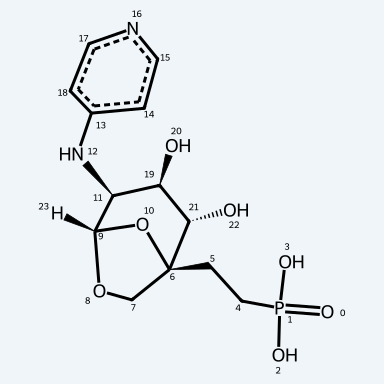 O=P(O)(O)CC[C@@]12CO[C@@H](O1)[C@@H](Nc1ccncc1)[C@@H](O)[C@@H]2O